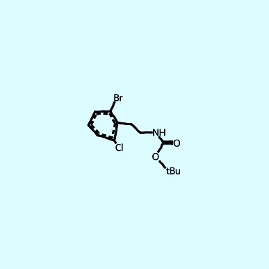 CC(C)(C)OC(=O)NCCc1c(Cl)cccc1Br